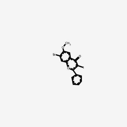 COc1cc2c(=O)c(I)c(-c3ccccc3)oc2cc1Br